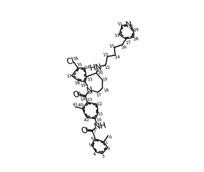 Cc1ccccc1C(=O)Nc1ccc(C(=O)N2CCCC(NCCCCCc3ccncc3)c3cc(Cl)ccc32)c(C)c1